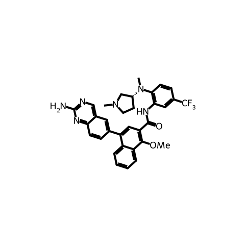 COc1c(C(=O)Nc2cc(C(F)(F)F)ccc2N(C)[C@@H]2CCN(C)C2)cc(-c2ccc3nc(N)ncc3c2)c2ccccc12